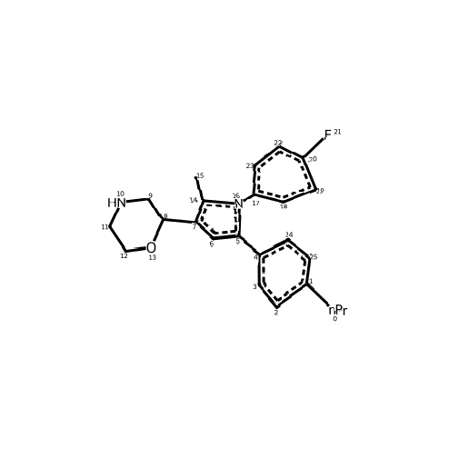 CCCc1ccc(-c2cc(C3CNCCO3)c(C)n2-c2ccc(F)cc2)cc1